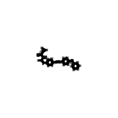 CC(Cc1ccc(C#Cc2ccc(Oc3ccccc3)nc2)cc1)NC(=O)C1CC1